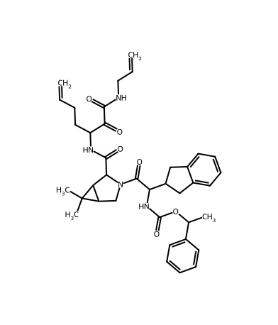 C=CCCC(NC(=O)C1C2C(CN1C(=O)C(NC(=O)OC(C)c1ccccc1)C1Cc3ccccc3C1)C2(C)C)C(=O)C(=O)NCC=C